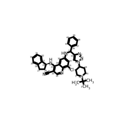 CC(C)(C)N1CCC(n2cc(C(Nc3cc(Cl)c4ncc(C#N)c(N[C@H]5CCc6ccccc65)c4c3)c3ccccc3)nn2)CC1